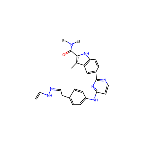 C=CN/N=C\Cc1ccc(Nc2ccnc(-c3ccc4[nH]c(C(=O)N(CC)CC)c(C)c4c3)n2)cc1